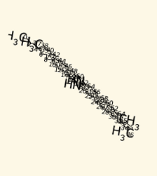 CCCCCCCCCCCCCCCCCCNCCCCCCCCCCCCCCCCCC.CCCCCCCCCCCCCCNCCCCCCCCCCCCCC